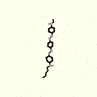 CCCCCNc1ccc(N=Nc2ccc(N=Nc3ccc(NCC)cc3)cc2)cc1